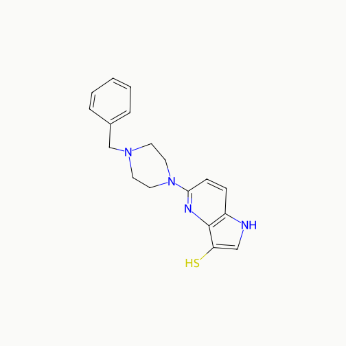 Sc1c[nH]c2ccc(N3CCN(Cc4ccccc4)CC3)nc12